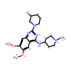 COc1cc2nc(N3CCCC(F)C3)nc(NC3CCN(C)CC3)c2cc1OC